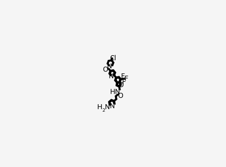 Nc1ccc(CCC(=O)NCc2cc3cc(-c4ccc(C(=O)N5CCC(Cl)CC5)cn4)cc(C(F)(F)F)c3o2)cn1